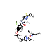 C=C(O/N=C(\C)C(C)C)N1CCC([C@H]2C[C@H]2CCOc2ccc(CC(=O)N(C)Cc3csc(C)n3)c(F)c2)CC1